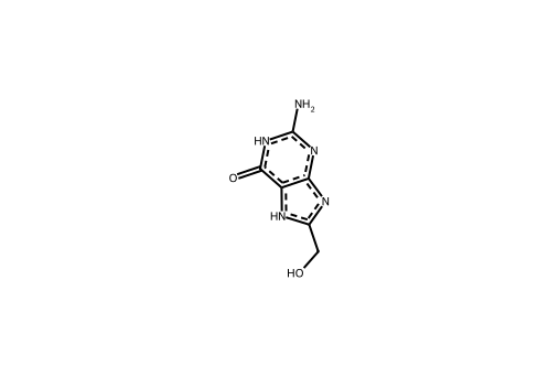 Nc1nc2nc(CO)[nH]c2c(=O)[nH]1